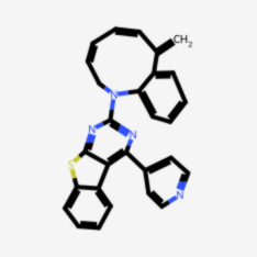 C=C1/C=C\C=C/CN(c2nc(-c3ccncc3)c3c(n2)sc2ccccc23)c2ccccc21